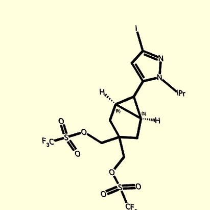 CC(C)n1nc(I)cc1C1[C@H]2CC(COS(=O)(=O)C(F)(F)F)(COS(=O)(=O)C(F)(F)F)C[C@@H]12